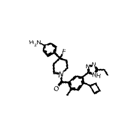 CCc1nnc(-c2cc(C(=O)N3CCC(F)(c4ccc(N)cc4)CC3)c(C)cc2C2CCC2)[nH]1